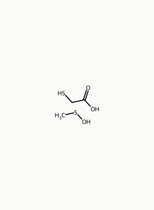 CSO.O=C(O)CS